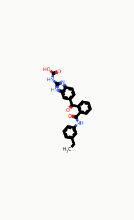 CCc1cccc(NC(=O)c2ccccc2C(=O)c2ccc3nc(NC(=O)O)[nH]c3c2)c1